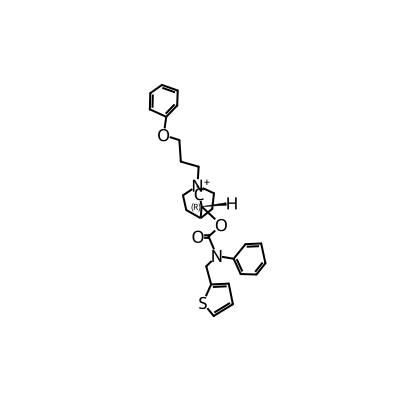 O=C(O[C@H]1C[N+]2(CCCOc3ccccc3)CCC1CC2)N(Cc1cccs1)c1ccccc1